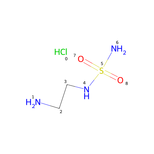 Cl.NCCNS(N)(=O)=O